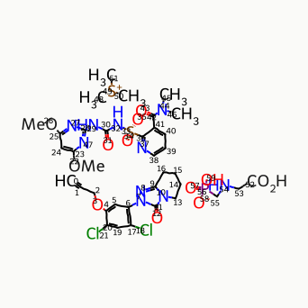 C#CCOc1cc(-n2nc3n(c2=O)CCCC3)c(Cl)cc1Cl.COc1cc(OC)nc(NC(=O)NS(=O)(=O)c2ncccc2C(=O)N(C)C)n1.C[S+](C)C.O=C(O)CNCP(=O)([O-])O